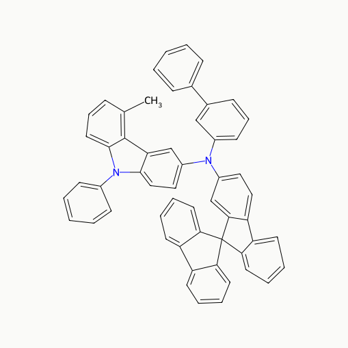 Cc1cccc2c1c1cc(N(c3cccc(-c4ccccc4)c3)c3ccc4c(c3)C3(c5ccccc5-c5ccccc53)c3ccccc3-4)ccc1n2-c1ccccc1